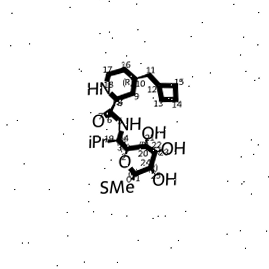 CS[C@H]1O[C@H]([C@H](NC(=O)[C@@H]2C[C@H](CC3CCC3)CCN2)C(C)C)[C@H](O)[C@H](O)[C@H]1O